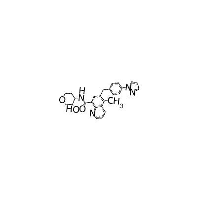 Cc1c(Cc2ccc(-n3cccn3)cc2)cc(C(=O)N[C@H]2CCOC[C@@H]2O)c2ncccc12